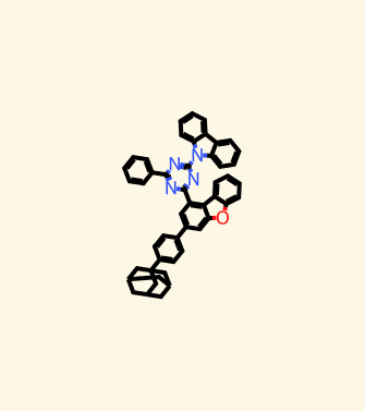 c1ccc(-c2nc(-c3cc(-c4ccc(C56CC7CC(CC(C7)C5)C6)cc4)cc4oc5ccccc5c34)nc(-n3c4ccccc4c4ccccc43)n2)cc1